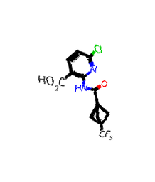 O=C(O)c1ccc(Cl)nc1NC(=O)C12CC(C(F)(F)F)(C1)C2